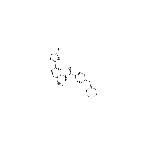 Nc1ccc(-c2ccc(Cl)s2)cc1NC(=O)c1ccc(CN2CCOCC2)cc1